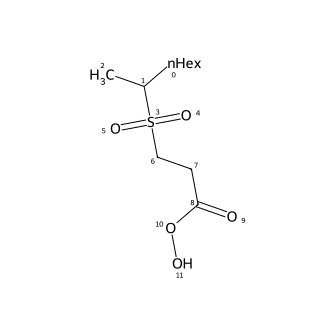 CCCCCCC(C)S(=O)(=O)CCC(=O)OO